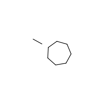 C1CCCCCC1.CC